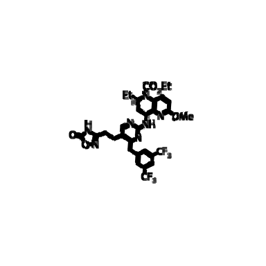 CCOC(=O)N1c2ccc(OC)nc2[C@@H](Nc2ncc(CCc3noc(=O)[nH]3)c(Cc3cc(C(F)(F)F)cc(C(F)(F)F)c3)n2)C[C@H]1CC